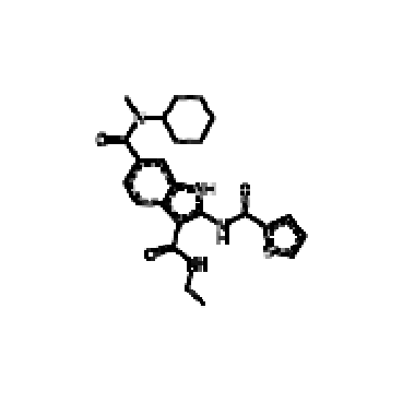 CCNC(=O)c1c(NC(=O)c2cccs2)[nH]c2cc(C(=O)N(C)C3CCCCC3)ccc12